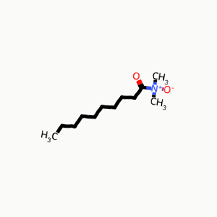 CCCCCCCCCC(=O)[N+](C)(C)[O-]